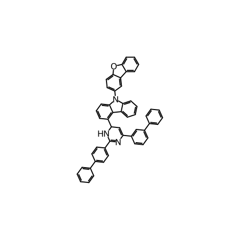 C1=C(c2cccc(-c3ccccc3)c2)N=C(c2ccc(-c3ccccc3)cc2)NC1c1cccc2c1c1ccccc1n2-c1ccc2oc3ccccc3c2c1